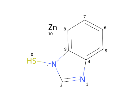 Sn1cnc2ccccc21.[Zn]